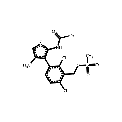 CCCC(=O)Nc1[nH]cc(C)c1-c1ccc(Cl)c(COS(C)(=O)=O)c1Cl